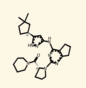 CC1(C)CC[C@H](c2cc(Nc3nc(N4CCC[C@@H]4C(=O)N4CCCCC4)nc4c3CCC4)n[nH]2)C1